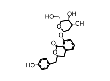 O=C1OC(Cc2ccc(O)cc2)Cc2cccc(O[C@H]3C[C@@H](O)[C@H](O)[C@@H](CO)O3)c21